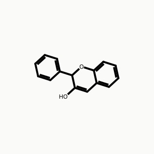 OC1=Cc2ccccc2OC1c1ccccc1